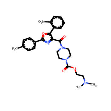 CN(C)CCOC(=O)N1CCN(C(=O)c2nc(-c3ccc(C(F)(F)F)cc3)oc2-c2ccccc2[N+](=O)[O-])CC1